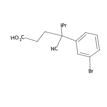 CC(C)C(C#N)(CCC(=O)O)c1cccc(Br)c1